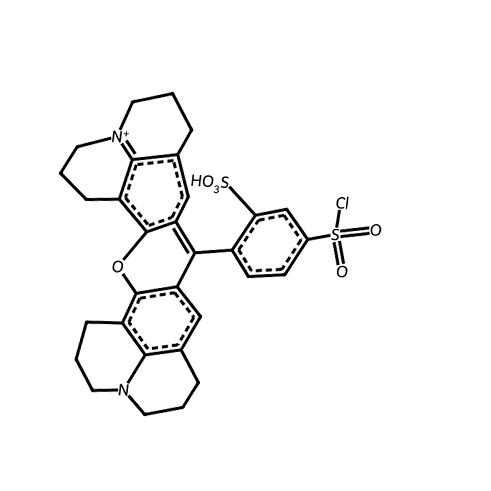 O=S(=O)(O)c1cc(S(=O)(=O)Cl)ccc1C1=c2cc3c4c(c2Oc2c1cc1c5c2CCCN5CCC1)CCC[N+]=4CCC3